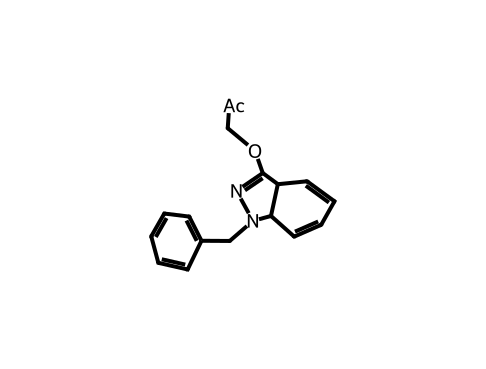 CC(=O)COC1=NN(Cc2ccccc2)C2C=CC=CC12